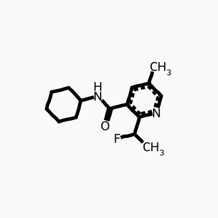 Cc1cnc(C(C)F)c(C(=O)NC2CCCCC2)c1